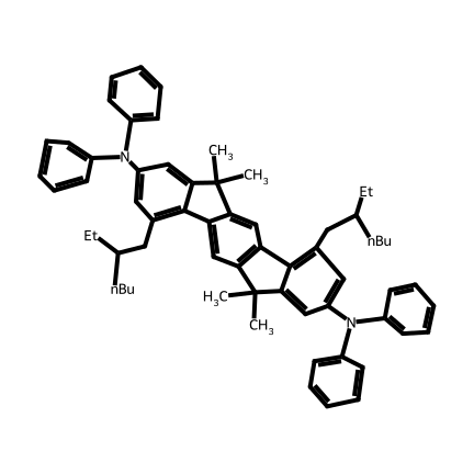 CCCCC(CC)Cc1cc(N(c2ccccc2)c2ccccc2)cc2c1-c1cc3c(cc1C2(C)C)-c1c(CC(CC)CCCC)cc(N(c2ccccc2)c2ccccc2)cc1C3(C)C